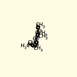 Cc1ccc(C(=O)Oc2ccc(OC(=O)c3ccc(OC(C)[n+]4ccc(N(C)C)cc4)cc3)c(C)c2C)cc1